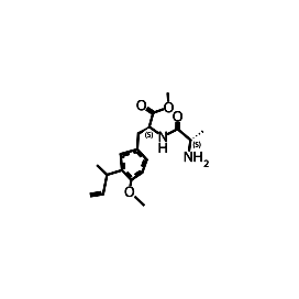 C=CC(C)c1cc(C[C@H](NC(=O)[C@H](C)N)C(=O)OC)ccc1OC